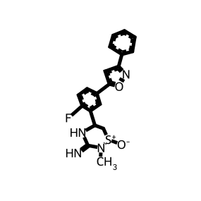 CN1C(=N)NC(c2cc(-c3cc(-c4ccccc4)no3)ccc2F)C[S+]1[O-]